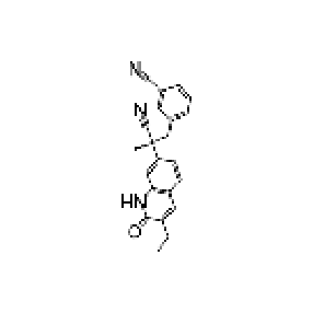 CCc1cc2ccc([C@](C)(C#N)Cc3cccc(C#N)c3)cc2[nH]c1=O